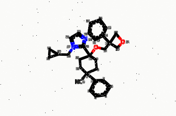 N#C[C@]1(c2ccccc2)CC[C@@](OCC2(c3ccccc3)COC2)(c2nccn2CC2CC2)CC1